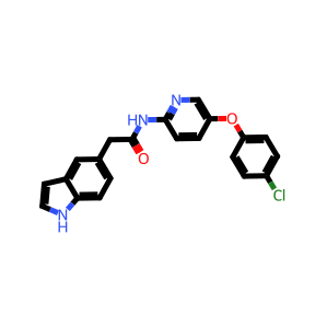 O=C(Cc1ccc2[nH]ccc2c1)Nc1ccc(Oc2ccc(Cl)cc2)cn1